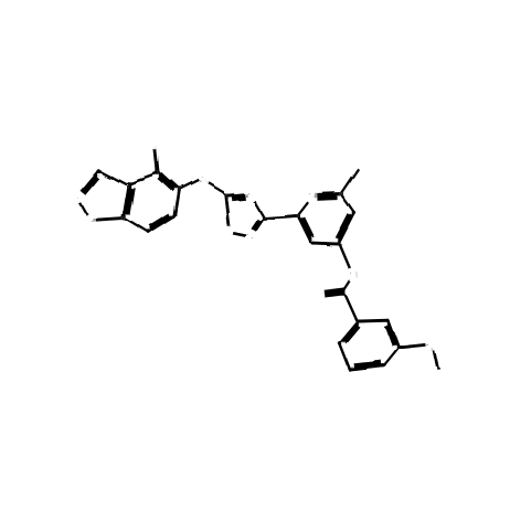 COc1cccc(C(=O)Nc2cc(C)nc(-c3nsc(Nc4ccc5[nH]ncc5c4Cl)n3)c2)c1